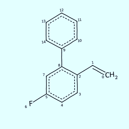 C=Cc1ccc(F)cc1-c1ccccc1